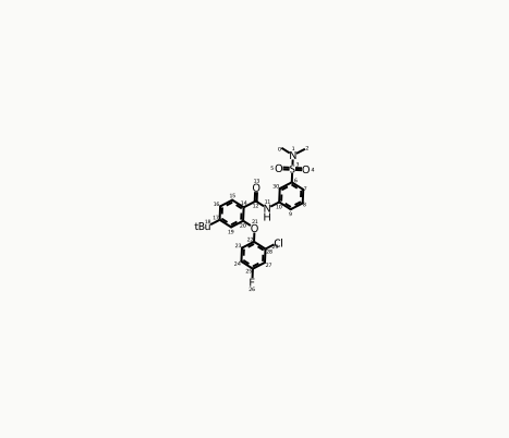 CN(C)S(=O)(=O)c1cccc(NC(=O)c2ccc(C(C)(C)C)cc2Oc2ccc(F)cc2Cl)c1